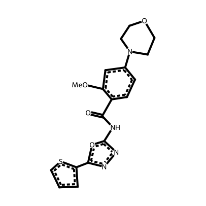 COc1cc(N2CCOCC2)ccc1C(=O)Nc1nnc(-c2cccs2)o1